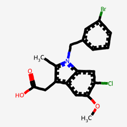 COc1cc2c(CC(=O)O)c(C)n(Cc3cccc(Br)c3)c2cc1Cl